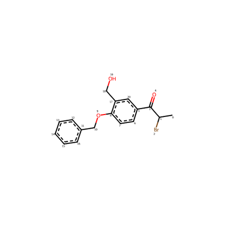 CC(Br)C(=O)c1ccc(OCc2ccccc2)c(CO)c1